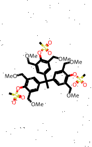 COCc1cc(C(C)(c2cc(COC)c(OS(C)(=O)=O)c(COC)c2)c2cc(COC)c(OS(C)(=O)=O)c(COC)c2)cc(COC)c1OS(C)(=O)=O